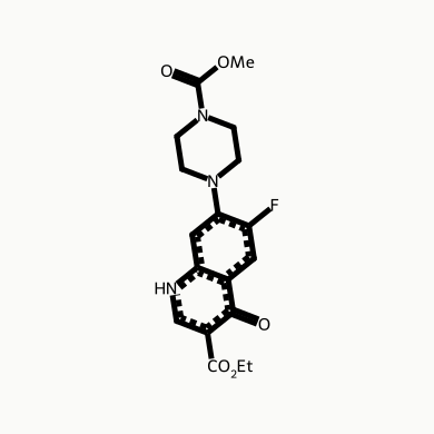 CCOC(=O)c1c[nH]c2cc(N3CCN(C(=O)OC)CC3)c(F)cc2c1=O